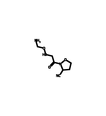 N#CC1CCON1C(=O)CBOCN